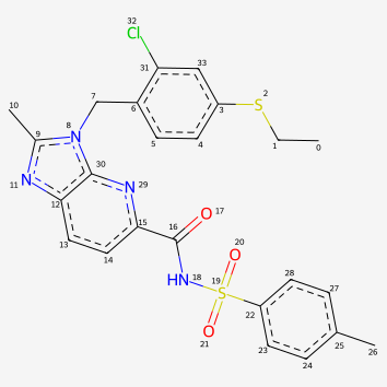 CCSc1ccc(Cn2c(C)nc3ccc(C(=O)NS(=O)(=O)c4ccc(C)cc4)nc32)c(Cl)c1